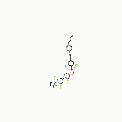 C=CCCc1ccc(C#Cc2cc(F)c(C(F)(F)Oc3ccc(C4=CC(F)C(C(F)(F)F)C(F)=C4)c(F)c3)c(F)c2)cc1